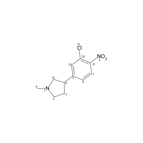 CN1CCC(c2ccc([N+](=O)[O-])c(Cl)c2)C1